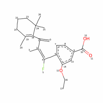 C=C(C(C)=C(F)c1ccc(C(=O)O)cc1OCC)C1=C(C)CCCC1(C)C